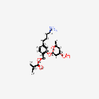 CC1CC(O)CC(Oc2cc(CCCCN)ccc2COC(=O)C(C)C)O1